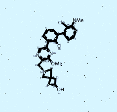 CNc1cccc(-c2cccc(-c3cnc(CN4CC5(CC(O)C5)C4)c(OC)n3)c2Cl)c1Cl